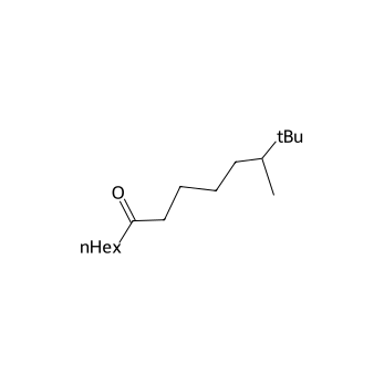 CCCCCCC(=O)CCCCC(C)C(C)(C)C